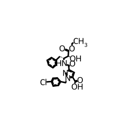 CCOC(=O)[C@H](O)[C@@H](Cc1ccccc1)NC(=O)c1cc(C(=O)O)n(Cc2ccc(Cl)cc2)n1